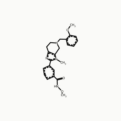 CONC(=O)c1cccc(-c2nc3c(n2C)CN(Cc2ccccc2OC)CC3)c1